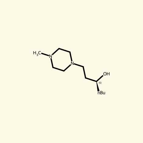 CCCC[C@H](O)CCN1CCN(C)CC1